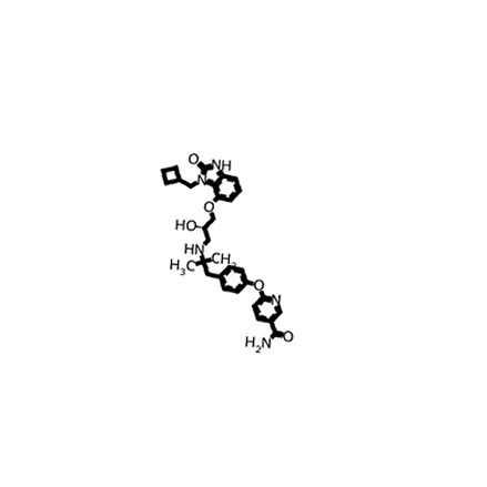 CC(C)(Cc1ccc(Oc2ccc(C(N)=O)cn2)cc1)NC[C@H](O)COc1cccc2[nH]c(=O)n(CC3CCC3)c12